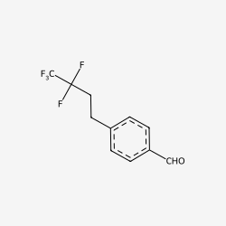 O=Cc1ccc(CCC(F)(F)C(F)(F)F)cc1